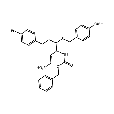 COc1ccc(CSC(CCc2ccc(Br)cc2)C(C=CS(=O)(=O)O)NC(=O)OCc2ccccc2)cc1